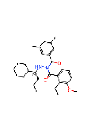 CCC[C@H](NN(C(=O)c1cc(C)cc(C)c1)C(=O)c1cccc(OC)c1CC)C1CCCCC1